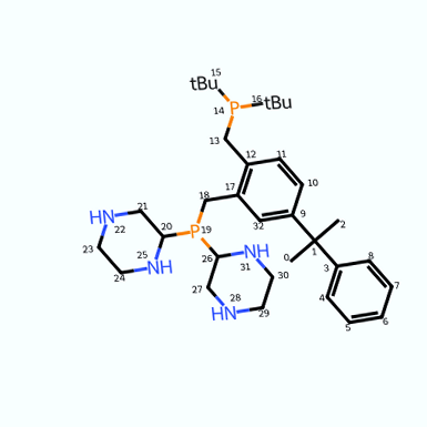 CC(C)(c1ccccc1)c1ccc(CP(C(C)(C)C)C(C)(C)C)c(CP(C2CNCCN2)C2CNCCN2)c1